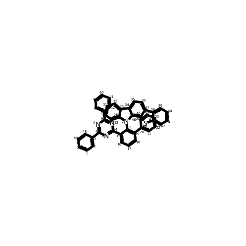 c1ccc(-c2nc(-c3ccccc3)nc(-c3cccc(-c4ccccc4)c3-n3c4ccccc4c4ccc5c6ccccc6sc5c43)n2)cc1